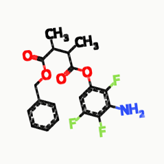 CC(C(=O)OCc1ccccc1)C(C)C(=O)Oc1cc(F)c(F)c(N)c1F